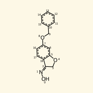 O/N=C1\COc2cc(OCc3ccccc3)ccc21